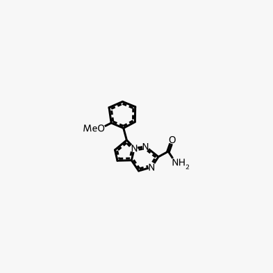 COc1ccccc1-c1ccc2cnc(C(N)=O)nn12